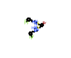 FC(F)(F)c1cccc(CCN2CN=C(SCc3ccc(Br)cc3CSC3=NCN(CCc4cccc(C(F)(F)F)c4)CN3)NC2)c1